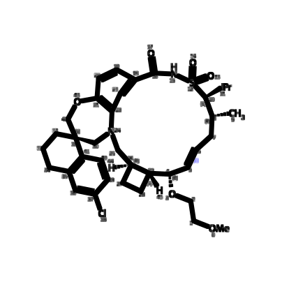 COCCO[C@H]1/C=C/C[C@@H](C)[C@H](C(C)C)S(=O)(=O)NC(=O)c2ccc3c(c2)N(C[C@@H]2CC[C@H]21)C[C@@]1(CCCc2cc(Cl)ccc21)CO3